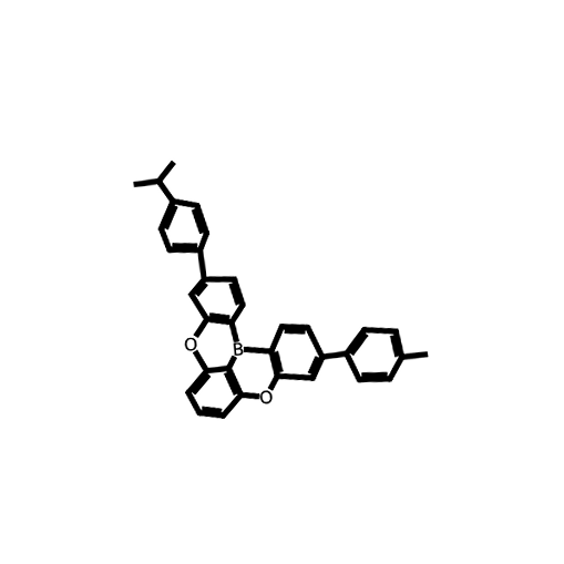 Cc1ccc(-c2ccc3c(c2)Oc2cccc4c2B3c2ccc(-c3ccc(C(C)C)cc3)cc2O4)cc1